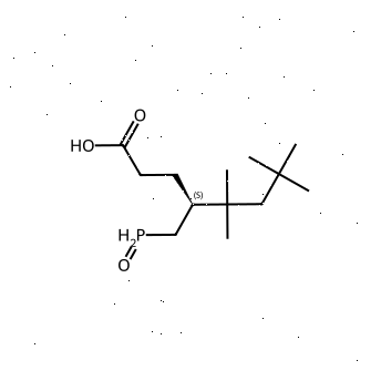 CC(C)(C)CC(C)(C)[C@H](CCC(=O)O)C[PH2]=O